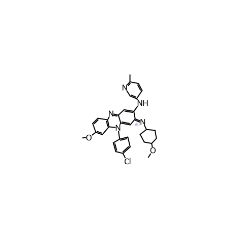 COc1ccc2nc3cc(Nc4ccc(C)nc4)/c(=N/C4CCC(OC)CC4)cc-3n(-c3ccc(Cl)cc3)c2c1